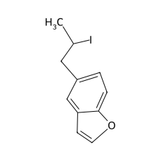 CC(I)Cc1ccc2occc2c1